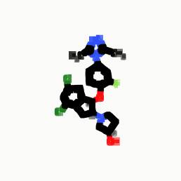 Cc1nnc(C)n1-c1ccc(O[C@@H]2c3cc(Cl)cc(Cl)c3C[C@@H]2N2CC[C@@H](O)C2)c(F)c1